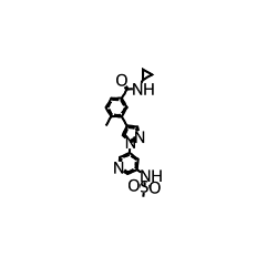 Cc1ccc(C(=O)NC2CC2)cc1-c1cnn(-c2cncc(NS(C)(=O)=O)c2)c1